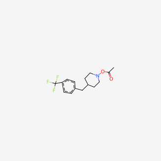 CC(=O)ON1CCC(Cc2ccc(C(F)(F)F)cc2)CC1